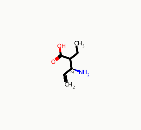 C=C[C@H](N)C(CC)C(=O)O